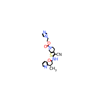 C[C@@H](CC(=O)Nc1sc2c(c1C#N)CCN(C(=O)OCCn1ccnc1)C2)c1ccccn1